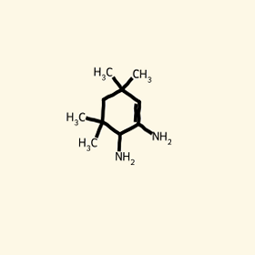 CC1(C)C=C(N)C(N)C(C)(C)C1